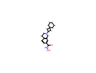 O=C(NO)c1ccc2c(c1)CN(C1CC3(CCCCC3)C1)CC2